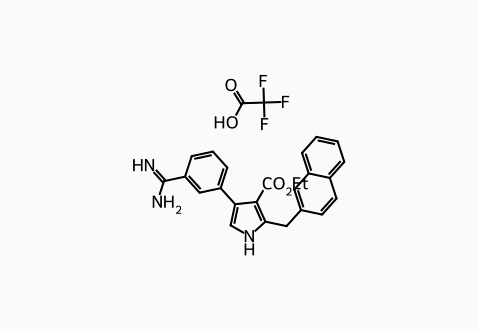 CCOC(=O)c1c(-c2cccc(C(=N)N)c2)c[nH]c1Cc1ccc2ccccc2c1.O=C(O)C(F)(F)F